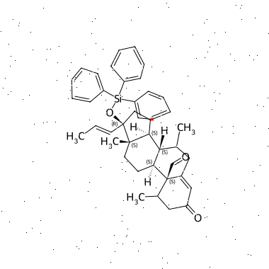 CC=C[C@]1(O[Si](c2ccccc2)(c2ccccc2)c2ccccc2)CC[C@H]2[C@@H]3C(C)CC4=CC(=O)CC(C)[C@]4(C=O)[C@H]3CC[C@@]21C